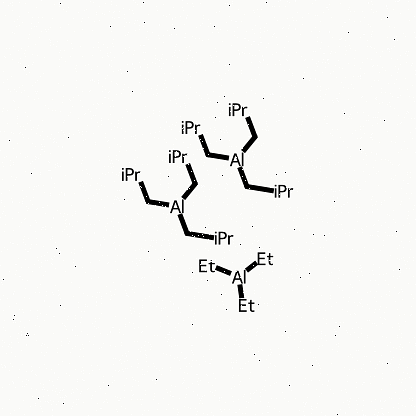 CC(C)[CH2][Al]([CH2]C(C)C)[CH2]C(C)C.CC(C)[CH2][Al]([CH2]C(C)C)[CH2]C(C)C.C[CH2][Al]([CH2]C)[CH2]C